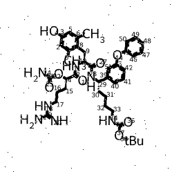 Cc1cc(O)cc(C)c1C[C@H](NC(=O)[C@@H](CCCNC(=N)N)OC(N)=O)C(=O)N[C@@H](CCCCNC(=O)OC(C)(C)C)c1cccc(Oc2ccccc2)c1